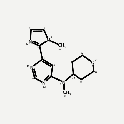 CN(c1cc(-c2nccn2C)ncn1)C1CCOCC1